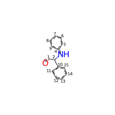 O=CC(Nc1ccccc1)c1ccccc1